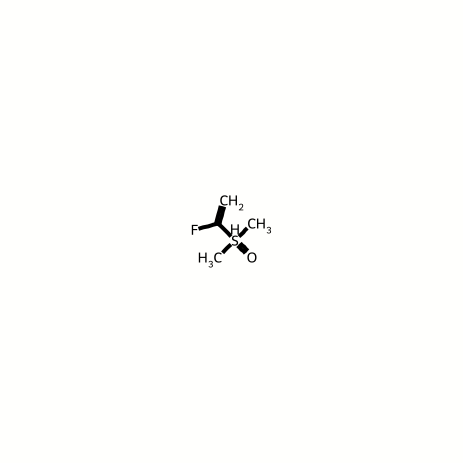 C=C(F)[SH](C)(C)=O